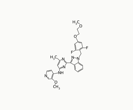 COCCOc1cc(F)c(Cn2nc(-c3nc(C)cc(Nc4ccncc4OC)n3)c3ccccc32)c(F)c1